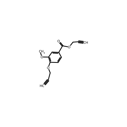 C#CCOC(=O)c1ccc(OCC#C)c(OC)c1